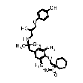 Cc1cc(CC(C)(C)NCC(O)COc2ccc(O)cc2)cc(C)c1OCC1([PH](=O)O)CCCCC1